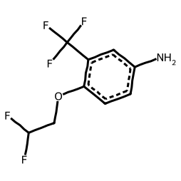 Nc1ccc(OCC(F)F)c(C(F)(F)F)c1